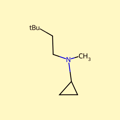 CN(CCC(C)(C)C)C1CC1